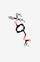 CC(C)(C)[Si](C)(C)Oc1ccc(COC(=O)C(F)(F)F)cc1